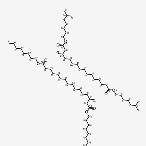 CC(C)CCCCCOC(=O)CCCCCCCCCCCCC(C)CC(=O)OCCCCCC(C)C.CCCCCCCCOC(=O)CCCCCCCCCCCCC(C)CC(=O)OCCCCCCCC